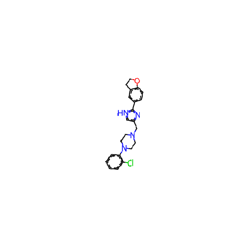 Clc1ccccc1N1CCN(Cc2c[nH]c(-c3ccc4c(c3)CCO4)n2)CC1